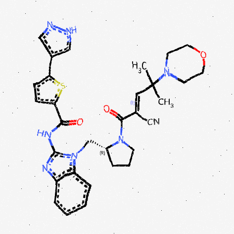 CC(C)(/C=C(\C#N)C(=O)N1CCC[C@@H]1Cn1c(NC(=O)c2ccc(-c3cn[nH]c3)s2)nc2ccccc21)N1CCOCC1